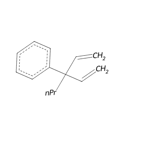 C=CC(C=C)(CCC)c1ccccc1